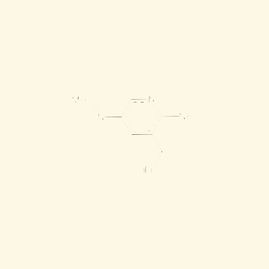 CONc1cnc(N)c(CC(C)C)c1